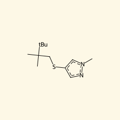 Cn1cc(SCC(C)(C)C(C)(C)C)cn1